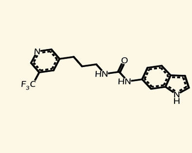 O=C(NCCCc1cncc(C(F)(F)F)c1)Nc1ccc2cc[nH]c2c1